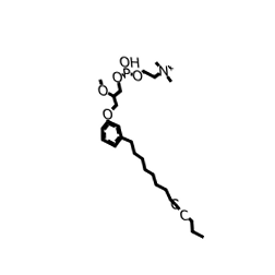 CCCCCCCCCCCCCc1cccc(OCC(COP(O)OCC[N+](C)(C)C)OC)c1